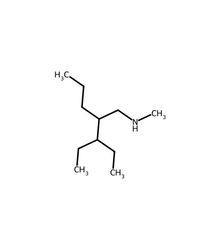 CCCC(CNC)C(CC)CC